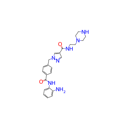 Nc1ccccc1NC(=O)c1ccc(Cn2cc(C(=O)NCCN3CCNCC3)cn2)cc1